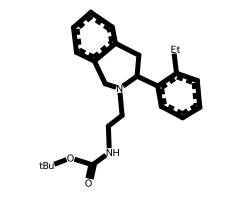 CCc1ccccc1C1Cc2ccccc2CN1CCNC(=O)OC(C)(C)C